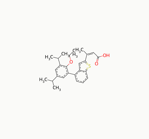 CCOc1c(-c2cccc3sc(/C(C)=C\C(=O)O)cc23)cc(C(C)C)cc1C(C)C